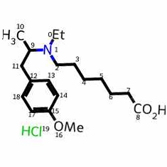 CCN(CCCCCCC(=O)O)C(C)Cc1ccc(OC)cc1.Cl